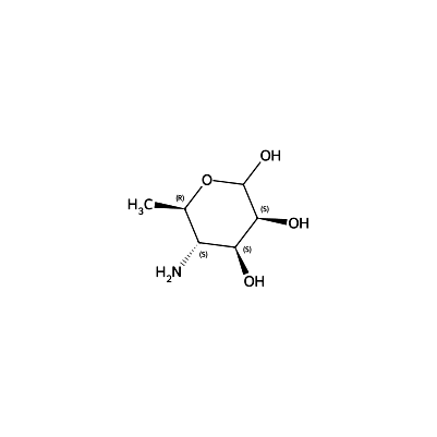 C[C@H]1OC(O)[C@@H](O)[C@@H](O)[C@@H]1N